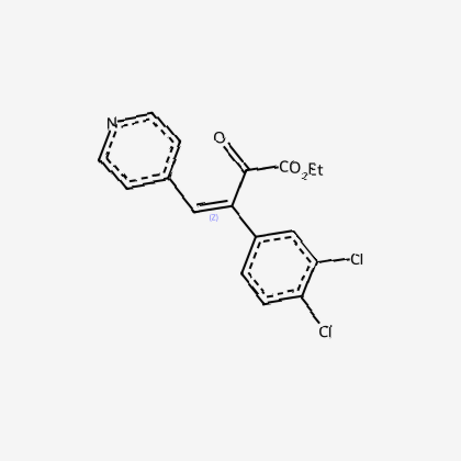 CCOC(=O)C(=O)/C(=C\c1ccncc1)c1ccc(Cl)c(Cl)c1